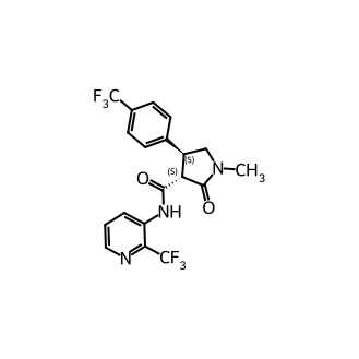 CN1C[C@H](c2ccc(C(F)(F)F)cc2)[C@@H](C(=O)Nc2cccnc2C(F)(F)F)C1=O